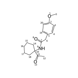 COc1ccc(CC(=O)NC2(C(C)=O)CCCCC2)cc1